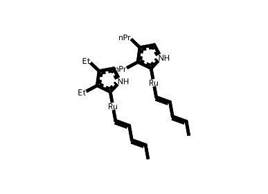 CC=CC=[CH][Ru][c]1[nH]cc(CC)c1CC.CC=CC=[CH][Ru][c]1[nH]cc(CCC)c1CCC